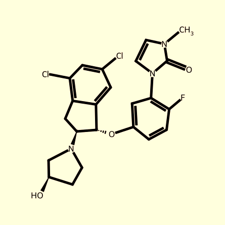 Cn1ccn(-c2cc(O[C@H]3c4cc(Cl)cc(Cl)c4C[C@@H]3N3CC[C@@H](O)C3)ccc2F)c1=O